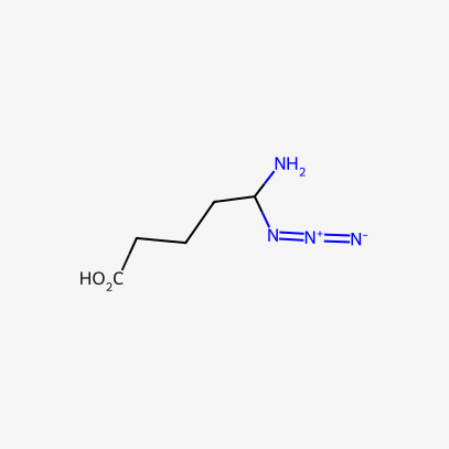 [N-]=[N+]=NC(N)CCCC(=O)O